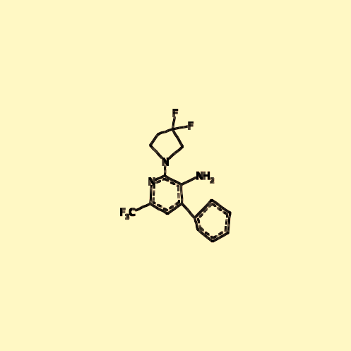 Nc1c(-c2ccccc2)cc(C(F)(F)F)nc1N1CCC(F)(F)C1